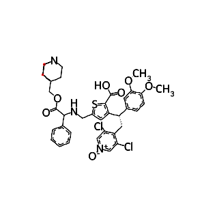 COc1ccc([C@H](Cc2c(Cl)c[n+]([O-])cc2Cl)c2cc(CNC(C(=O)OCC34CCN(CC3)CC4)c3ccccc3)sc2C(=O)O)cc1OC